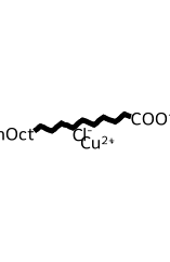 CCCCCCCCCCCCCCCCCC(=O)[O-].[Cl-].[Cu+2]